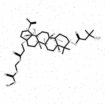 C=C(C)[C@@H]1CC[C@]2(CCC(=O)OCOC(=O)OC(C)(C)C)CC[C@]3(C)[C@H](CC[C@@H]4[C@@]5(C)CC[C@H](OC(=O)CC(C)(C)C(=O)O)C(C)(C)[C@@H]5CC[C@]43C)[C@@H]12